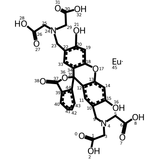 O=C(O)CN(CC(=O)O)Cc1cc2c(cc1O)Oc1cc(O)c(CN(CC(=O)O)CC(=O)O)cc1C21OC(=O)c2ccccc21.[Eu]